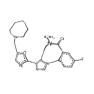 CN1Cc2c(-c3ncc(CN4CCCCC4)o3)ncn2-c2ccc(F)cc2C1=O